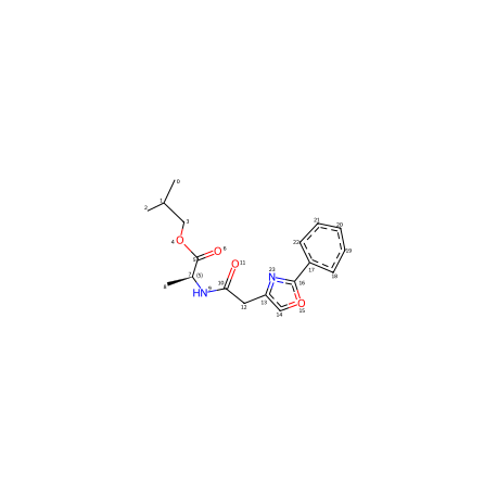 CC(C)COC(=O)[C@H](C)NC(=O)Cc1coc(-c2ccccc2)n1